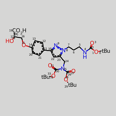 CC(C)(C)OC(=O)NCCCn1nc(-c2ccc(OC[C@@H](O)C(=O)O)cc2)cc1CN(C(=O)OC(C)(C)C)C(=O)OC(C)(C)C